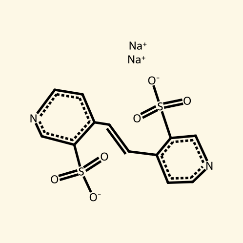 O=S(=O)([O-])c1cnccc1C=Cc1ccncc1S(=O)(=O)[O-].[Na+].[Na+]